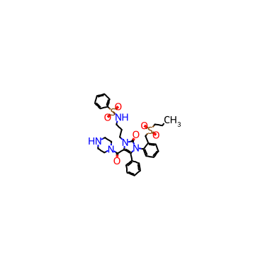 CCCS(=O)(=O)Cc1ccccc1-n1c(-c2ccccc2)c(C(=O)N2CCNCC2)n(CCCNS(=O)(=O)c2ccccc2)c1=O